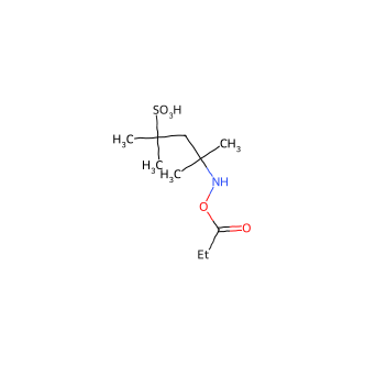 CCC(=O)ONC(C)(C)CC(C)(C)S(=O)(=O)O